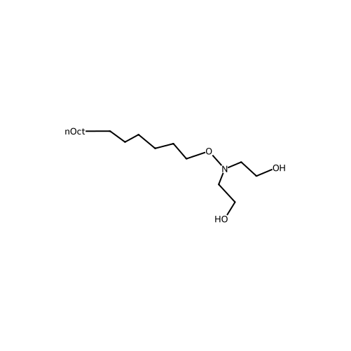 CCCCCCCCCCCCCCON(CCO)CCO